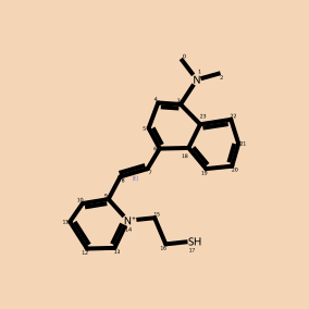 CN(C)c1ccc(/C=C/c2cccc[n+]2CCS)c2ccccc12